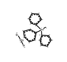 C[PH](c1ccccc1)(c1ccccc1)c1ccccc1.[Br][Mg][Br]